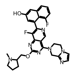 CN1CCCC1COc1nc(N2CCn3ccnc3C2)c2cnc(-c3cc(O)cc4cccc(F)c34)c(F)c2n1